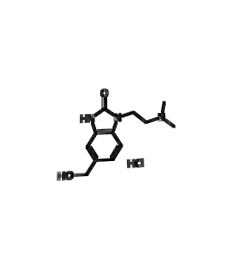 CN(C)CCn1c(=O)[nH]c2cc(CO)ccc21.Cl